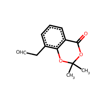 CC1(C)OC(=O)c2cccc(CC=O)c2O1